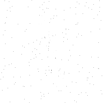 Cc1ccc(S(=O)(=O)OCc2ccc(-c3nc4ccccc4o3)cc2)cc1